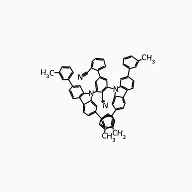 Cc1cccc(-c2ccc3c4ccc(-c5cccc(C)c5)cc4n(-c4cc(-c5ccccc5C#N)cc(-n5c6cc(-c7cccc(C)c7)ccc6c6ccc(-c7cccc(C)c7)cc65)c4C#N)c3c2)c1